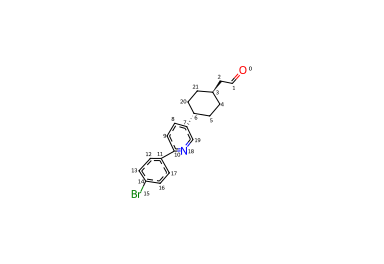 O=CC[C@H]1CC[C@H](c2ccc(-c3ccc(Br)cc3)nc2)CC1